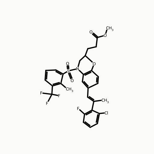 COC(=O)CCC1CN(S(=O)(=O)c2cccc(C(F)(F)F)c2C)c2cc(/C=C(\C)c3c(F)cccc3Cl)ccc2O1